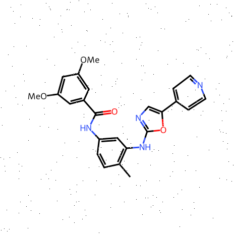 COc1cc(OC)cc(C(=O)Nc2ccc(C)c(Nc3ncc(-c4ccncc4)o3)c2)c1